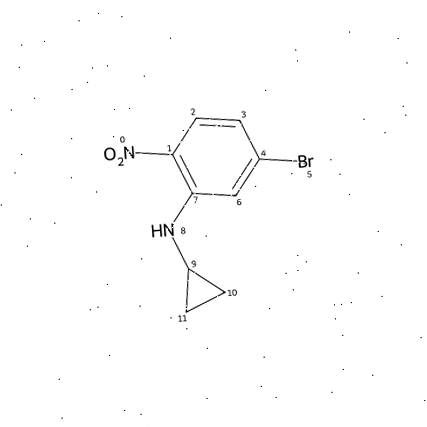 O=[N+]([O-])c1ccc(Br)cc1NC1CC1